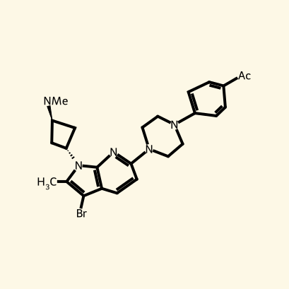 CN[C@H]1C[C@H](n2c(C)c(Br)c3ccc(N4CCN(c5ccc(C(C)=O)cc5)CC4)nc32)C1